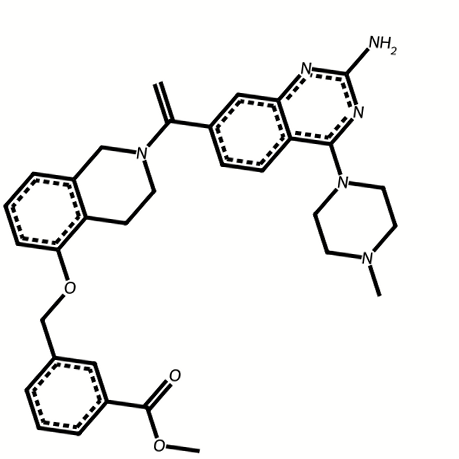 C=C(c1ccc2c(N3CCN(C)CC3)nc(N)nc2c1)N1CCc2c(cccc2OCc2cccc(C(=O)OC)c2)C1